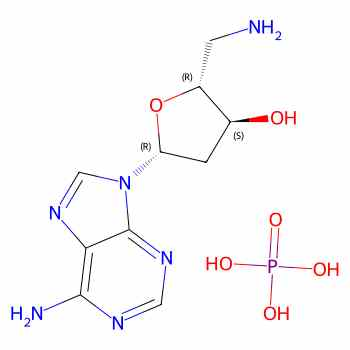 NC[C@H]1O[C@@H](n2cnc3c(N)ncnc32)C[C@@H]1O.O=P(O)(O)O